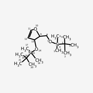 CC(C)(C)[Si](C)(C)OCC1OC=CC1O[Si](C)(C)C(C)(C)C